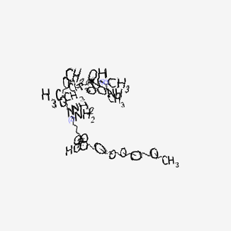 CCCOCCOCCOCCOCCOCCOP(=O)(O)OCCCC/C(N)=C/N(N)CCOC(C)(C)CCOC(C)(C)CCCC[C@@H](O)N(C=O)/C=C(/C)C(=O)NC